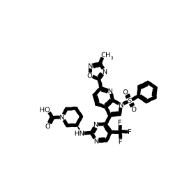 Cc1noc(-c2ccc3c(-c4nc(N[C@H]5CCCN(C(=O)O)C5)ncc4C(F)(F)F)cn(S(=O)(=O)c4ccccc4)c3n2)n1